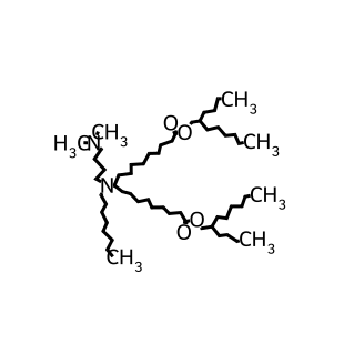 CCCCCCCCN(CCCCN(C)C)C(CCCCCCCCC(=O)OCC(CCCC)CCCCCC)CCCCCCCCC(=O)OCC(CCCC)CCCCCC